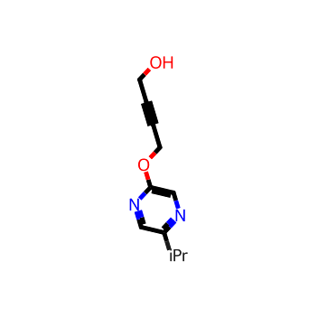 CC(C)c1cnc(OCC#CCO)cn1